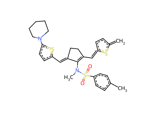 C=c1cc/c(=C\C2=C(N(C)S(=O)(=O)c3ccc(C)cc3)C(=C/c3ccc(N4CCCCC4)s3)/CC2)s1